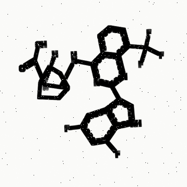 O=C(O)[C@@H]1C2CCC(CC2)C1Nc1nc(-c2c[nH]c3c(F)cc(F)cc23)nc2c(C(F)(F)F)cccc12